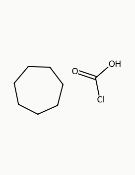 C1CCCCCC1.O=C(O)Cl